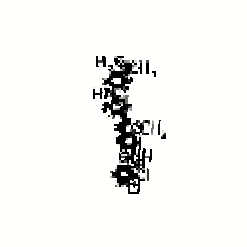 COc1nc(NS(=O)(=O)c2cccc(Cl)c2Cl)ccc1/C=C/c1cnc(N[C@H]2CC[C@H](N(C)C)CC2)nc1